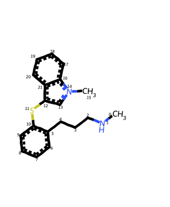 CNCCCc1ccccc1Sc1cn(C)c2ccccc12